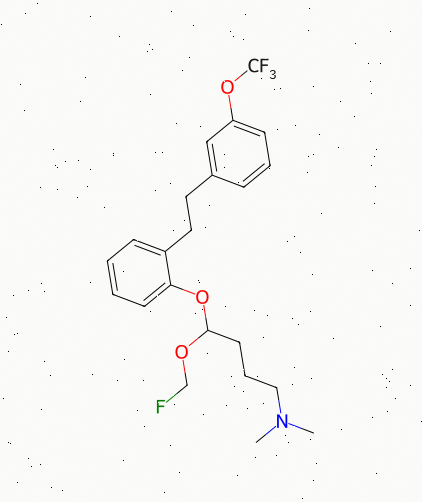 CN(C)CCCC(OCF)Oc1ccccc1CCc1cccc(OC(F)(F)F)c1